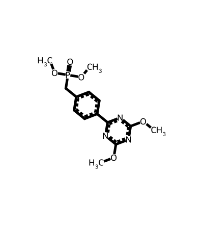 COc1nc(OC)nc(-c2ccc(CP(=O)(OC)OC)cc2)n1